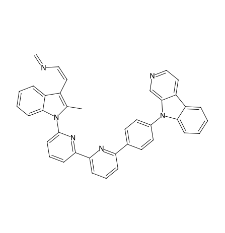 C=N/C=C\c1c(C)n(-c2cccc(-c3cccc(-c4ccc(-n5c6ccccc6c6ccncc65)cc4)n3)n2)c2ccccc12